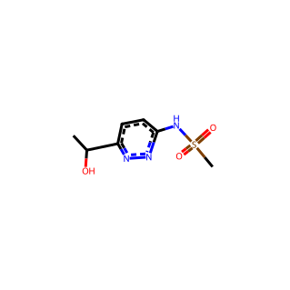 CC(O)c1ccc(NS(C)(=O)=O)nn1